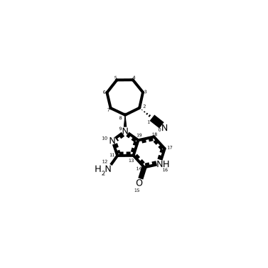 N#C[C@H]1CCCCC[C@@H]1n1nc(N)c2c(=O)[nH]ccc21